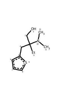 CCC(CO)(Cc1cccs1)N(C)C